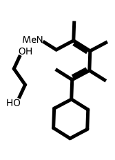 CNCC(C)=C(C)C(C)=C(C)C1CCCCC1.OCCO